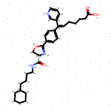 O=C(O)CCCC/C=C(/c1ccc(C2=N[C@H](C(=O)NCCCCC3CCCCC3)CO2)cc1)c1cccnc1